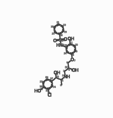 CC(NC[C@H](O)COc1ccc(O)c(NS(=O)(=O)c2ccccc2)c1)C(O)c1ccc(O)c(Cl)c1